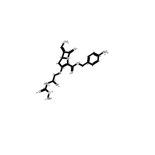 CC=C1C(=O)N2C(C(=O)OCc3ccc([N+](=O)[O-])cc3)=C(SCC(Br)NC(=O)OC(C)(C)C)CC12